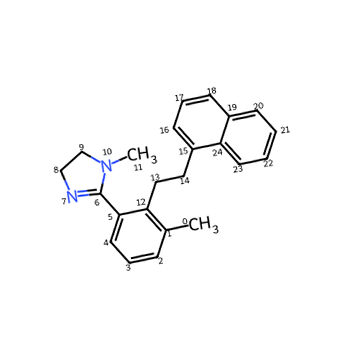 Cc1cccc(C2=NCCN2C)c1CCc1cccc2ccccc12